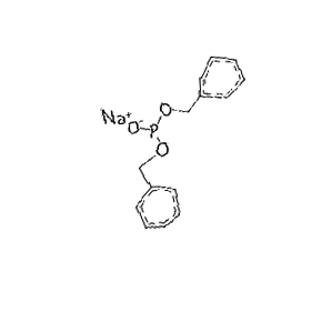 [Na+].[O-]P(OCc1ccccc1)OCc1ccccc1